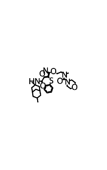 CC1CC2CC(C1)CC(C)(NC(=O)c1onc(OCCN(C)C(=O)N3CCOCC3)c1Sc1ccccc1)C2